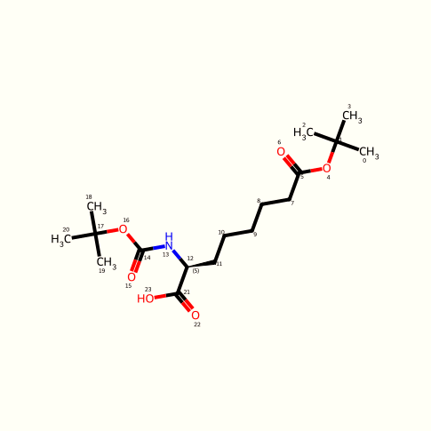 CC(C)(C)OC(=O)CCCCC[C@H](NC(=O)OC(C)(C)C)C(=O)O